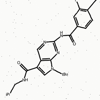 Cc1ccc(C(=O)Nc2ncc3c(C(=O)NCC(C)C)cn(C(C)(C)C)c3n2)cc1F